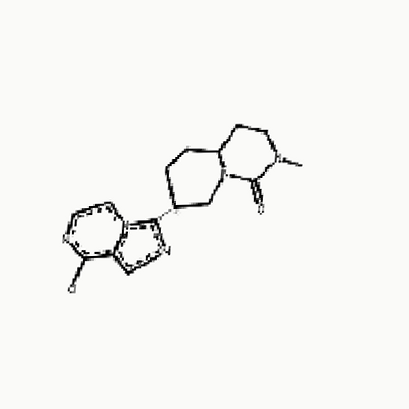 CN1CCC2CC[C@@H](c3ncc4c(Cl)nccn34)CN2C1=O